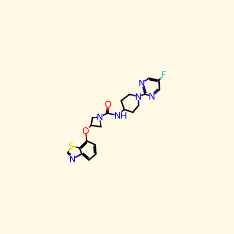 O=C(NC1CCN(c2ncc(F)cn2)CC1)N1CC(Oc2cccc3ncsc23)C1